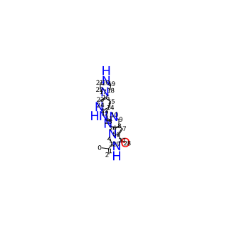 CC(C)C1Cn2c(cc3cnc(Nc4ccc(N5CCNCC5)cn4)nc32)C(=O)N1